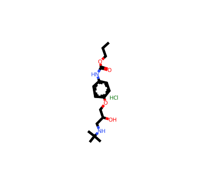 CCCOC(=O)Nc1ccc(OCC(O)CNC(C)(C)C)cc1.Cl